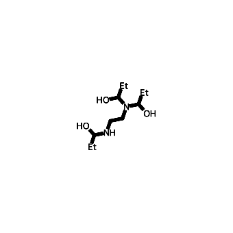 CCC(O)NCCN(C(O)CC)C(O)CC